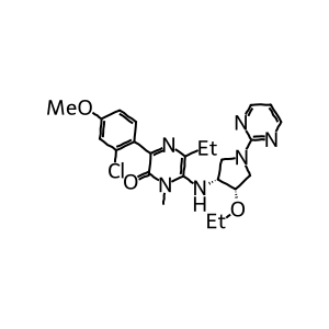 CCO[C@H]1CN(c2ncccn2)C[C@H]1Nc1c(CC)nc(-c2ccc(OC)cc2Cl)c(=O)n1C